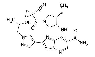 CC[C@@H]1CN(C(=O)C2(C#N)CC2)C[C@H]1Nc1c(C(N)=O)cnn2cc(-c3cnn(C[C@H](C)O)c3)nc12